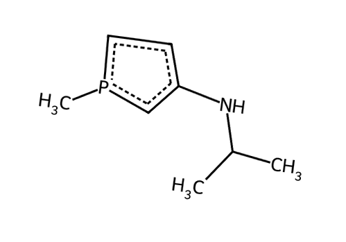 CC(C)Nc1ccp(C)c1